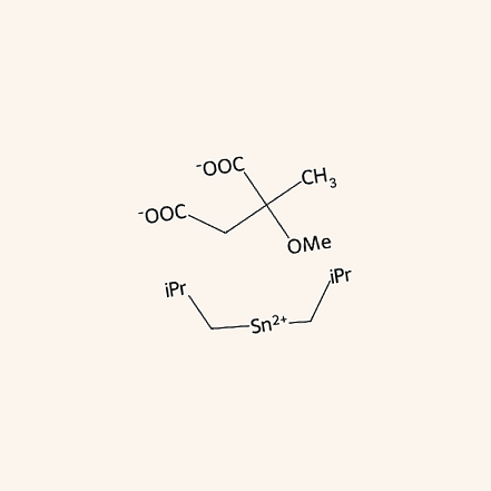 CC(C)[CH2][Sn+2][CH2]C(C)C.COC(C)(CC(=O)[O-])C(=O)[O-]